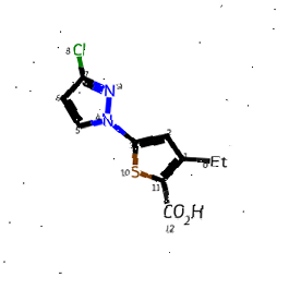 CCc1cc(-n2ccc(Cl)n2)sc1C(=O)O